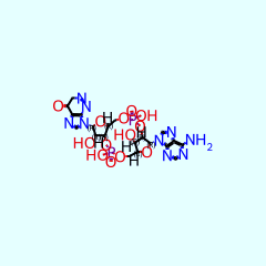 Nc1ncnc2c1ncn2[C@@H]1O[C@@H]2COP(=O)(O)O[C@H]3[C@@H](O)[C@H](n4cnc5c4N=NCC5=O)O[C@@H]3COP(=O)(O)O[C@@H]1[C@@H]2O